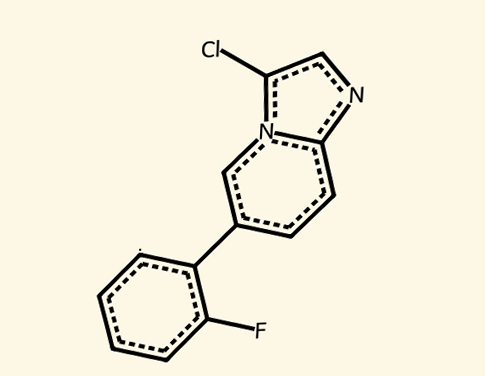 Fc1ccc[c]c1-c1ccc2ncc(Cl)n2c1